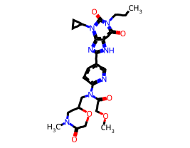 CCCn1c(=O)c2[nH]c(-c3ccc(N(CC4CN(C)C(=O)CO4)C(=O)COC)nc3)nc2n(C2CC2)c1=O